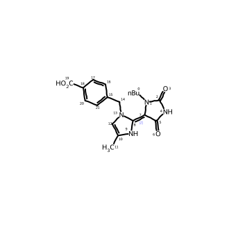 CCCCN1C(=O)NC(=O)/C1=C1\NC(C)=CN1Cc1ccc(C(=O)O)cc1